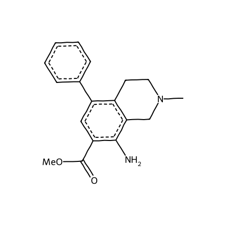 COC(=O)c1cc(-c2ccccc2)c2c(c1N)CN(C)CC2